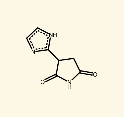 O=C1CC(c2ncc[nH]2)C(=O)N1